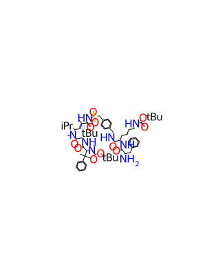 C/C(=C\C(C(C)C)N(C)C(=O)C(NC(=O)C(N(C)C(=O)OC(C)(C)C)C(C)(C)c1ccccc1)C(C)(C)C)C(=O)NS(=O)(=O)Cc1ccc(CNC(=O)C(CCCCNC(=O)OC(C)(C)C)NC(=O)C(N)Cc2ccccc2)cc1